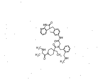 CCC1(C(=O)N(CC(=O)Nc2ccc3c(c2)C[C@@]2(C3)C(=O)Nc3ncccc32)Cc2ccccc2CNC)CCN(C(=O)[C@H](C)NC)CC1